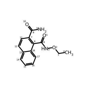 CCONC(=O)c1c(C(N)=O)ccc2ccccc12